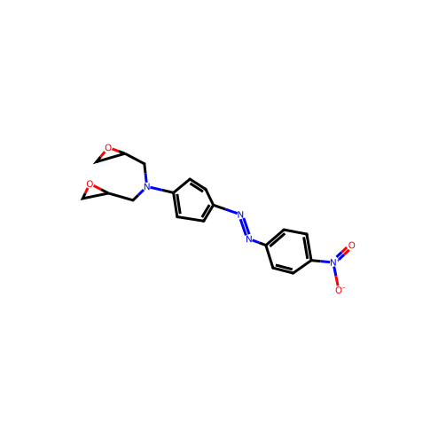 O=[N+]([O-])c1ccc(/N=N/c2ccc(N(CC3CO3)CC3CO3)cc2)cc1